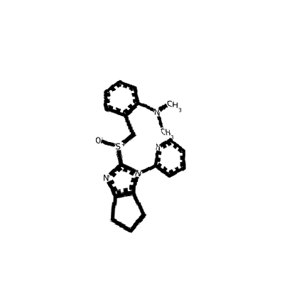 CN(C)c1ccccc1C[S+]([O-])c1nc2c(n1-c1ccccn1)CCC2